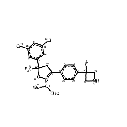 CC(C)(C)OC=O.FC1(c2ccc(C3=NOC(c4cc(Cl)cc(Cl)c4)(C(F)(F)F)C3)cc2)CNC1